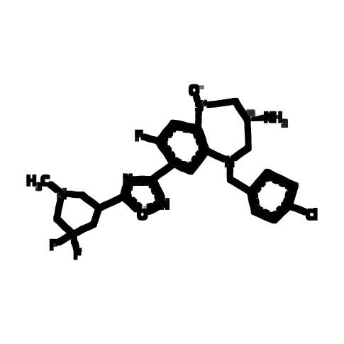 CN1CC(c2nc(-c3cc4c(cc3F)[S+]([O-])C[C@H](N)CN4Cc3ccc(Cl)cc3)no2)CC(F)(F)C1